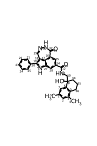 Cc1cc(C)c2c(c1)C(O)(CNC(=O)c1cc3c4c(c(-c5ccccc5)[nH]c4c1)C=NNC3=O)CCC2